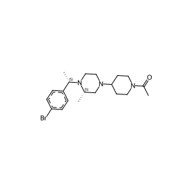 CC(=O)N1CCC(N2CCN([C@@H](C)c3ccc(Br)cc3)[C@@H](C)C2)CC1